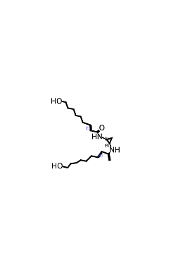 C=C(/C=C/CCCCCCO)N[C@@H]1C[C@@H]1NC(=O)/C=C/CCCCCCO